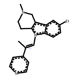 CCc1ccc2c(c1)c1c(n2/C=C(\C)c2ccncc2)CCN(C)C1